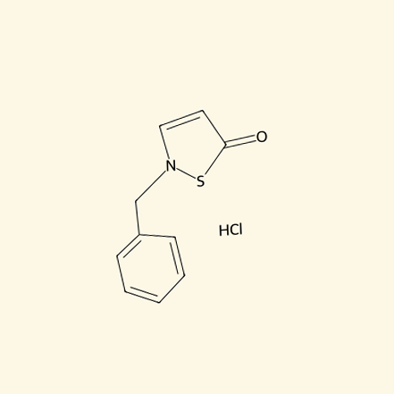 Cl.O=c1ccn(Cc2ccccc2)s1